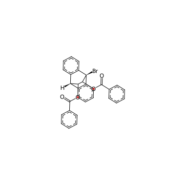 O=C(OC1C(OC(=O)c2ccccc2)[C@]2(Br)c3ccccc3[C@H]1c1ccccc12)c1ccccc1